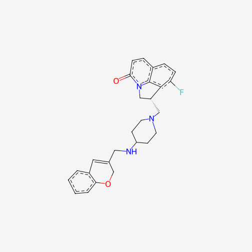 O=c1ccc2ccc(F)c3c2n1C[C@H]3CN1CCC(NCC2=Cc3ccccc3OC2)CC1